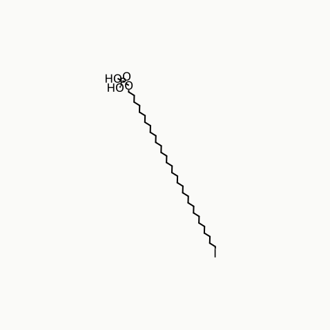 O=P(O)(O)OCCCCCCCCCCCCCCCCCCCCCCCCCCCCCCCCI